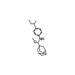 CCC(C)c1ccc(NC(OC)C23CC4CC(C2)C(C4)C3)cc1